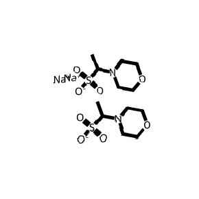 CC(N1CCOCC1)S(=O)(=O)[O-].CC(N1CCOCC1)S(=O)(=O)[O-].[Na+].[Na+]